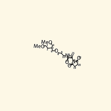 COCCC(COC)COCCCNC(=O)C(C)N1C(=O)CCC1=O